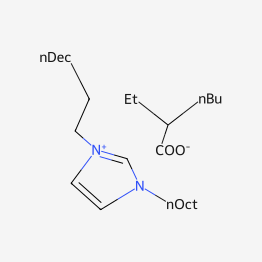 CCCCC(CC)C(=O)[O-].CCCCCCCCCCCC[n+]1ccn(CCCCCCCC)c1